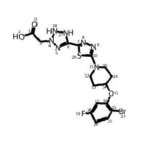 O=C(O)CN1N=C(c2nnc(N3CCC(Oc4cc(F)ccc4Br)CC3)s2)NN1